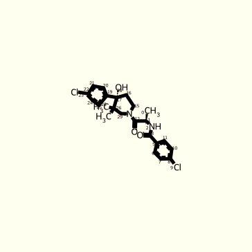 C[C@@H](NC(=O)c1ccc(Cl)cc1)C(=O)N1CC[C@](O)(c2ccc(Cl)cc2)C(C)(C)C1